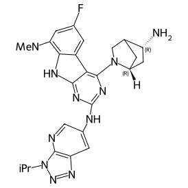 CNc1cc(F)cc2c1[nH]c1nc(Nc3cnc4c(c3)nnn4C(C)C)nc(N3CC4C[C@@H]3C[C@H]4N)c12